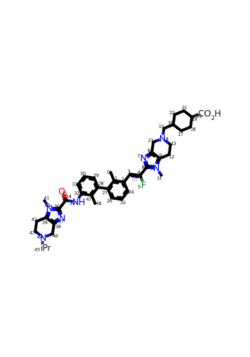 Cc1c(/C=C(\F)c2nc3c(n2C)CCN(CC2CCC(C(=O)O)CC2)C3)cccc1-c1cccc(NC(=O)c2nc3c(n2C)CCN(C(C)C)C3)c1C